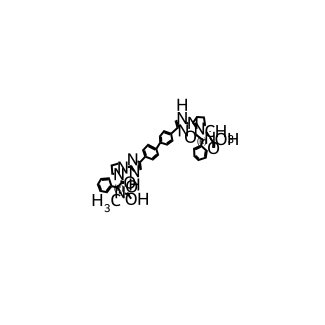 CN(C(=O)O)[C@@H](C(=O)N1CCCN1c1nc(-c2ccc(-c3ccc(-c4c[nH]c(N5CCCN5C(=O)[C@@H](c5ccccc5)N(C)C(=O)O)n4)cc3)cc2)c[nH]1)c1ccccc1